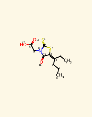 CCCC(CC)=C1SC(=S)N(CC(=O)O)C1=O